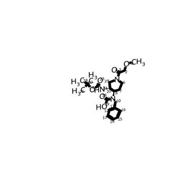 COCC(=O)N1CC[C@@H](N(Cc2ccccc2)C(=O)O)[C@H](NC(=O)OC(C)(C)C)C1